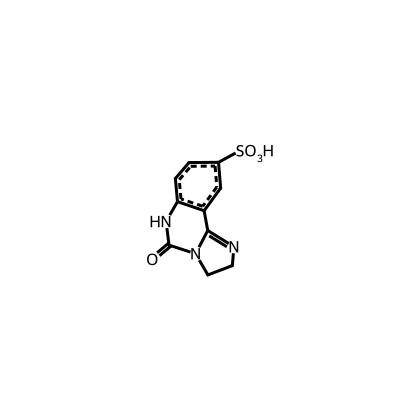 O=C1Nc2ccc(S(=O)(=O)O)cc2C2=NCCN12